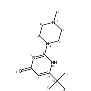 CN1CCN(c2nc(=O)cc(C(C)(C)C)[nH]2)CC1